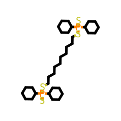 S=P(SCCCCCCCCCCSP(=S)(C1CCCCC1)C1CCCCC1)(C1CCCCC1)C1CCCCC1